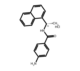 C[C@H](NC(=O)c1ccc(N)cc1)c1cccc2ccccc12.Cl